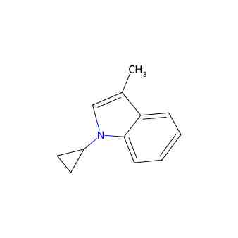 Cc1cn(C2CC2)c2ccccc12